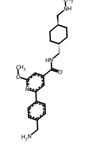 CNC[C@H]1CC[C@H](CNC(=O)c2cc(OC)nc(-c3ccc(CN)cc3)c2)CC1